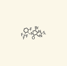 CSc1ncc2c(=O)n(Cc3c(F)cccc3C(F)(F)F)cc(Br)c2n1